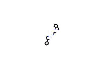 O=C(NC[C@H](O)CN1CCc2ccccc2C1)N1CCCC(c2ccccc2)C1